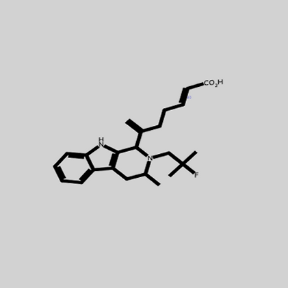 C=C(CC/C=C/C(=O)O)C1c2[nH]c3ccccc3c2CC(C)N1CC(C)(C)F